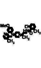 COc1ccc(N(Cc2cnccc2C)C2CCN(C(C)CCNC(=O)c3c(C)cccc3Cl)CC2)cc1